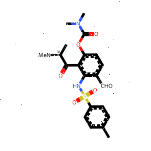 CN[C@@H](C)C(=O)c1c(OC(=O)N(C)C)ccc(C=O)c1NS(=O)(=O)c1ccc(C)cc1